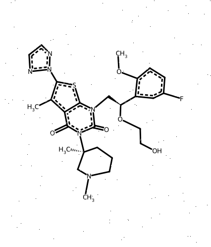 COc1ccc(F)cc1[C@H](Cn1c(=O)n([C@@]2(C)CCCN(C)C2)c(=O)c2c(C)c(-n3nccn3)sc21)OCCO